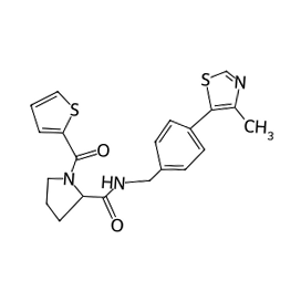 Cc1ncsc1-c1ccc(CNC(=O)C2CCCN2C(=O)c2cccs2)cc1